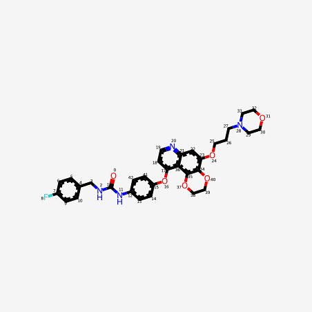 O=C(NCc1ccc(F)cc1)Nc1ccc(Oc2ccnc3cc(OCCCN4CCOCC4)c4c(c23)OCCO4)cc1